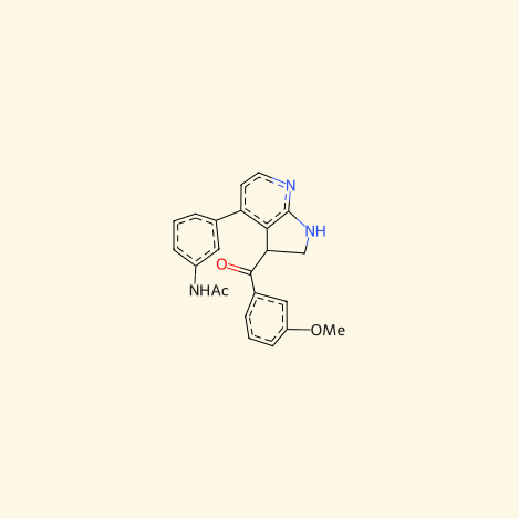 COc1cccc(C(=O)C2CNc3nccc(-c4cccc(NC(C)=O)c4)c32)c1